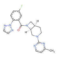 Cc1ccnc(N2CC[C@@H]3CN(C(=O)c4cc(F)ccc4-n4nccn4)[C@@H]3C2)n1